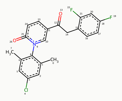 Cc1cc(Cl)cc(C)c1-n1cc(C(=O)Cc2ccc(F)cc2F)ccc1=O